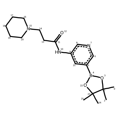 CC1(C)OB(c2cncc(NC(=O)CCN3CCCCC3)c2)OC1(C)C